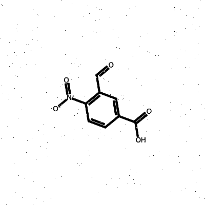 O=Cc1cc(C(=O)O)ccc1[N+](=O)[O-]